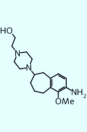 COc1c(N)ccc2c1CCCC(N1CCN(CCO)CC1)C2